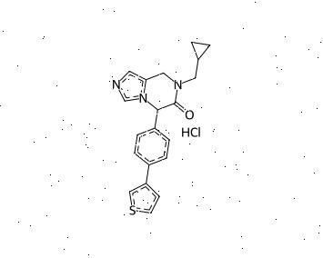 Cl.O=C1C(c2ccc(-c3ccsc3)cc2)n2cncc2CN1CC1CC1